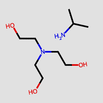 CC(C)N.OCCN(CCO)CCO